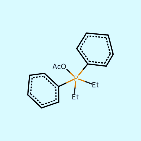 CCP(CC)(OC(C)=O)(c1ccccc1)c1ccccc1